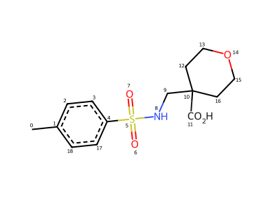 Cc1ccc(S(=O)(=O)NCC2(C(=O)O)CCOCC2)cc1